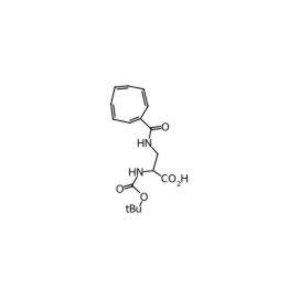 CC(C)(C)OC(=O)NC(CNC(=O)C1=CC=CC=CC=C1)C(=O)O